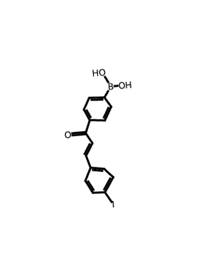 O=C(/C=C/c1ccc(I)cc1)c1ccc(B(O)O)cc1